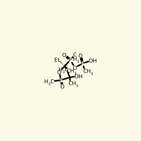 CC[C@](C)(OP(C)(=O)C(C)(C)O)P(C)(=O)OP(C)(=O)O